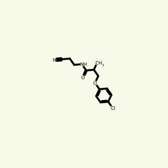 CC(COc1ccc(Cl)cc1)C(=O)NCCC#N